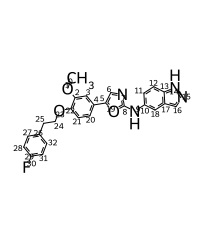 COc1cc(-c2cnc(Nc3ccc4[nH]ncc4c3)o2)ccc1OCCc1ccc(F)cc1